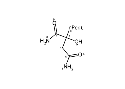 CCCCCC(O)(CC(N)=O)C(N)=O